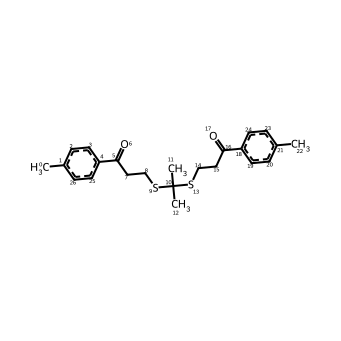 Cc1ccc(C(=O)CCSC(C)(C)SCCC(=O)c2ccc(C)cc2)cc1